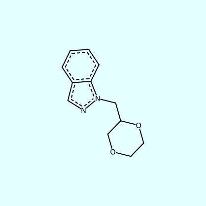 c1ccc2c(c1)cnn2CC1COCCO1